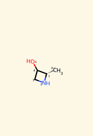 C[C@@H]1NCC1O